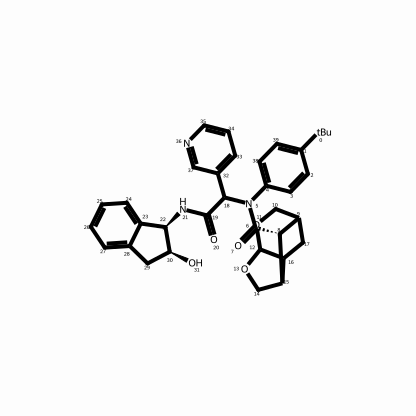 CC(C)(C)c1ccc(N(C(=O)[C@@H]2C3COC4OCC2C4C3)C(C(=O)N[C@@H]2c3ccccc3C[C@@H]2O)c2cccnc2)cc1